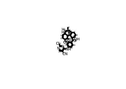 CN1CC[C@]23C4=C5CC=C(O)C4(C(=O)c4ccc(Nc6nc(Cl)ncc6C#N)cc4)O[C@H]2[C@@H](O)C=C[C@H]3[C@H]1C5